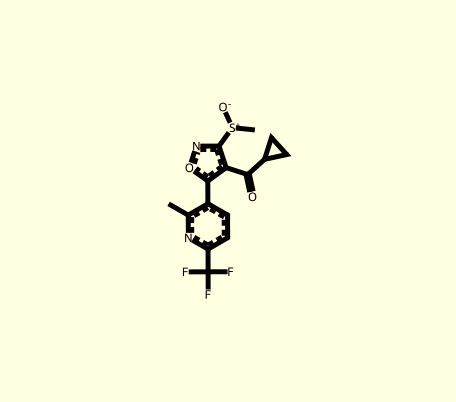 Cc1nc(C(F)(F)F)ccc1-c1onc([S+](C)[O-])c1C(=O)C1CC1